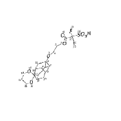 O=C(OCCOC12CC3CC(C1)C1(OCCCO1)C(C3)C2)C(F)(F)S(=O)(=O)O